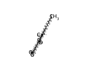 CCCCCCCCCCCCCCCCCCOC(=O)CCCCCCCCC(=O)[O-].[Ca+]